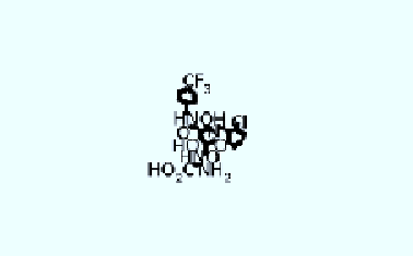 NC(NC(=O)c1c(O)c(C(=O)NCc2ccc(C(F)(F)F)cc2)c(O)n(Cc2ccccc2Cl)c1=O)C(=O)O